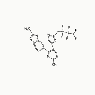 Cc1cn2ccc(-c3nc(C#N)ccc3-c3cnn(CC(F)(F)C(F)(F)C(F)F)c3)cc2n1